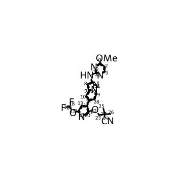 COc1ccnc(Nc2cc3cc(-c4cc(OC(F)F)ncc4OCC(C)(C)C#N)ccn3n2)n1